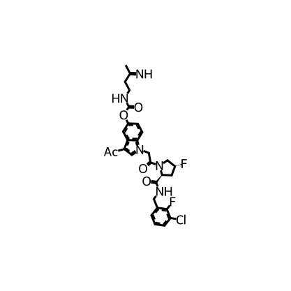 CC(=N)CCNC(=O)Oc1ccc2c(c1)c(C(C)=O)cn2CC(=O)N1C[C@H](F)C[C@H]1C(=O)NCc1cccc(Cl)c1F